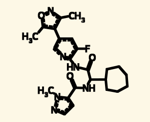 Cc1noc(C)c1-c1cnc(NC(=O)C(NC(=O)c2ccnn2C)C2CCCCCC2)c(F)c1